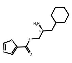 N[C@H](COC(=O)c1cncs1)CC1CCCCC1